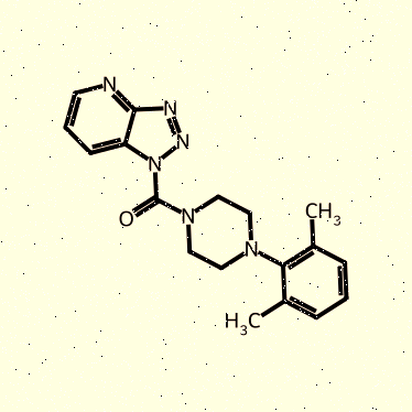 Cc1cccc(C)c1N1CCN(C(=O)n2nnc3ncccc32)CC1